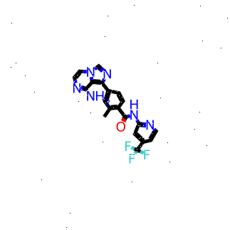 Cc1cc(-c2ncn3ccnc(N)c23)ccc1C(=O)Nc1cc(C(F)(F)F)ccn1